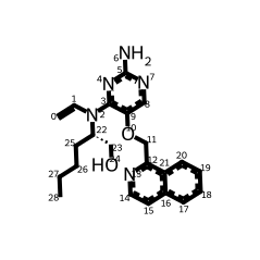 C=CN(c1nc(N)ncc1OCc1nccc2ccccc12)[C@H](CO)CCCC